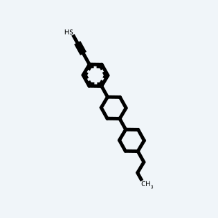 CCCC1CCC(C2CCC(c3ccc(C#CS)cc3)CC2)CC1